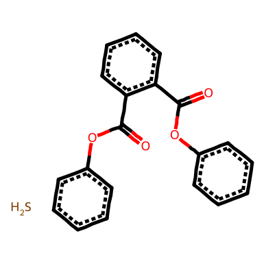 O=C(Oc1ccccc1)c1ccccc1C(=O)Oc1ccccc1.S